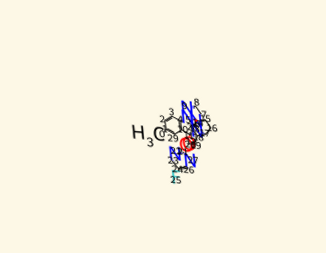 Cc1ccc(-n2nccn2)c(C(=O)N2C3CCC2C(COc2ncc(F)cn2)C3)c1